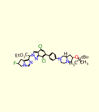 CCOC(=O)C(c1ncn2c1CC(F)C2)n1cc2c(Cl)cc(-c3ccc(N4CCN5C[C@H](O[Si](C)(C)C(C)(C)C)C[C@H]5C4)cc3)c(Cl)c2n1